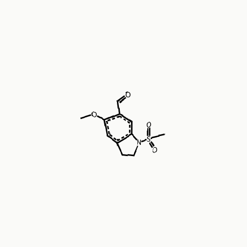 COc1cc2c(cc1C=O)N(S(C)(=O)=O)CC2